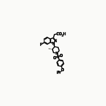 CC(C)Oc1ccc(S(=O)(=O)N2CC[C@H](n3nc(CC(=O)O)c4ccc(F)cc43)[C@@H](C)C2)cc1